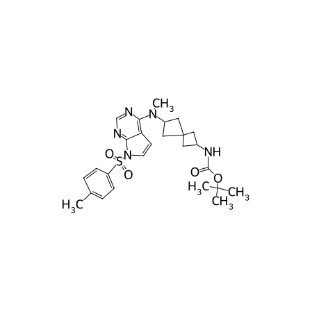 Cc1ccc(S(=O)(=O)n2ccc3c(N(C)C4CC5(CC(NC(=O)OC(C)(C)C)C5)C4)ncnc32)cc1